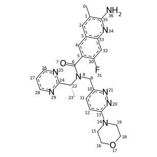 Cc1cc2cc(C(=O)N(Cc3ccc(N4CCOCC4)nn3)[C@H](C)c3ncccn3)c(F)cc2nc1N